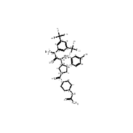 CC(=O)N[C@H]1CC[C@H](C(=O)N2C[C@@H](N(C)C(=O)N(C)c3cc(C(F)(F)F)cc(C(F)(F)F)c3)[C@H](c3ccc(F)cc3)C2)CC1